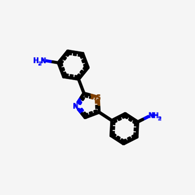 Nc1cccc(-c2cnc(-c3cccc(N)c3)s2)c1